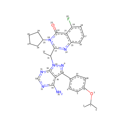 CC(C)Oc1ccc(-c2nn(C(C)c3nc4cccc(F)c4c(=O)n3C3CCCC3)c3ncnc(N)c23)cc1